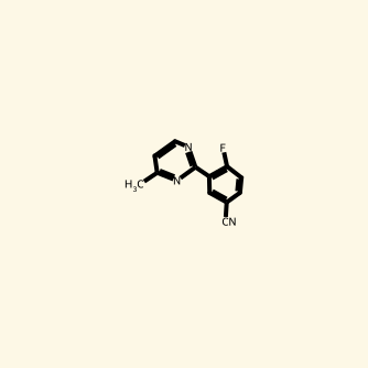 Cc1ccnc(-c2cc(C#N)ccc2F)n1